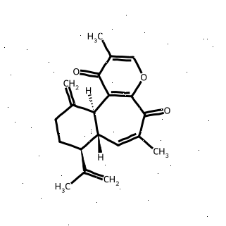 C=C(C)[C@H]1CCC(=C)[C@H]2c3c(occ(C)c3=O)C(=O)C(C)=C[C@H]12